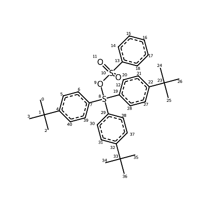 CC(C)(C)c1ccc(S(OS(=O)(=O)c2ccccc2)(c2ccc(C(C)(C)C)cc2)c2ccc(C(C)(C)C)cc2)cc1